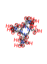 O=C(O)CCC(=O)N1CCCN(C(=O)CCC(C(=O)O)N(CC(=O)O)CC(=O)O)CCN(C(=O)CCC(C(=O)O)N(CC(=O)O)CC(=O)O)CCCN(C(=O)CCC(C(=O)O)N(CC(=O)O)CC(=O)O)CC1